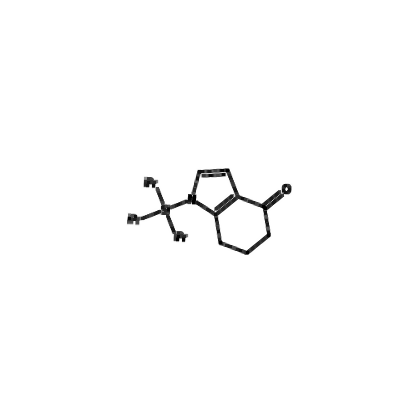 CC(C)[Si](C(C)C)(C(C)C)n1ccc2c1CCCC2=O